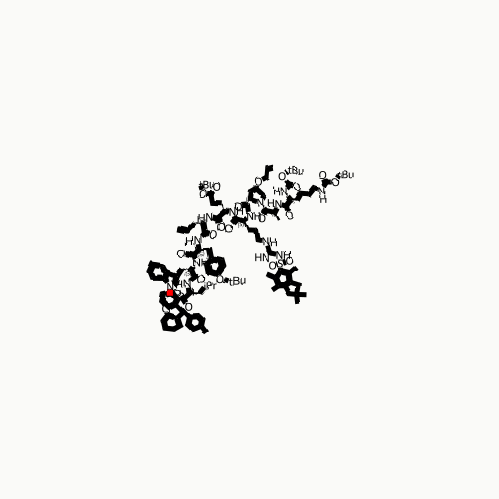 C=CCO[C@@H]1C[C@@H](C(=O)N[C@@H](CCCNC(=N)NS(=O)(=O)c2c(C)c(C)c3c(c2C)CC(C)(C)C3)C(=O)N[C@@H](CCC(=O)OC(C)(C)C)C(=O)N[C@@H](CC=C)C(=O)N[C@@H](Cc2ccc(OC(C)(C)C)cc2)C(=O)N[C@@H](Cc2cn(C(=O)O)c3ccccc23)C(=O)N[C@@H](CC(C)C)C(=O)OC(c2ccccc2)(c2ccc(C)cc2)c2ccccc2Cl)N(C(=O)[C@H](C)NC(=O)[C@H](CCCCNC(=O)OC(C)(C)C)NC(=O)OC(C)(C)C)C1